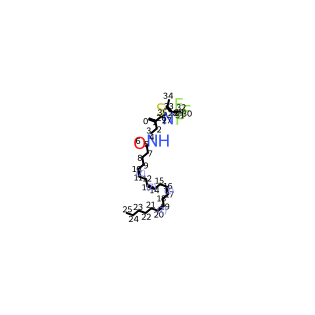 C=C(CCNC(=O)CCC/C=C\C/C=C\C/C=C\C/C=C\CCCCC)c1nc(C(F)(F)F)c(C)s1